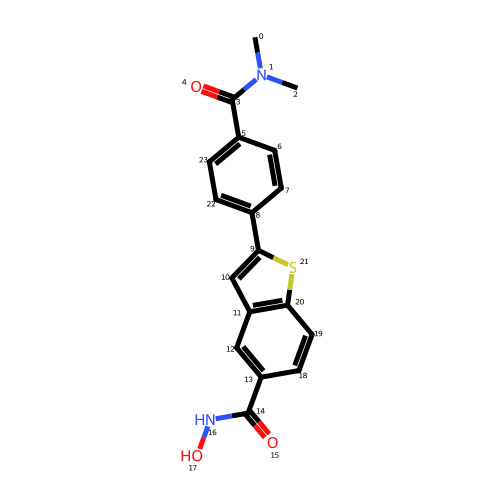 CN(C)C(=O)c1ccc(-c2cc3cc(C(=O)NO)ccc3s2)cc1